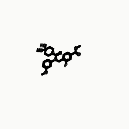 COC(=O)c1ccc(CN(C(=O)N2CCS(O)(O)CC2)c2cccc(OC)c2)c(F)c1